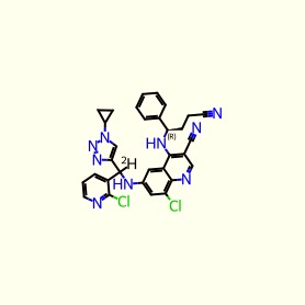 [2H]C(Nc1cc(Cl)c2ncc(C#N)c(N[C@H](CCC#N)c3ccccc3)c2c1)(c1cn(C2CC2)nn1)c1cccnc1Cl